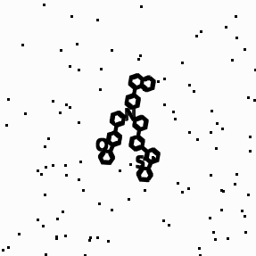 c1cc(-c2cccc(N(c3ccc(-c4cccc5ccccc45)cc3)c3cccc(-c4ccc5c(c4)oc4ccccc45)c3)c2)cc(-c2cccc3c2sc2ccccc23)c1